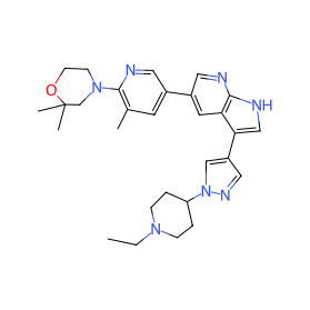 CCN1CCC(n2cc(-c3c[nH]c4ncc(-c5cnc(N6CCOC(C)(C)C6)c(C)c5)cc34)cn2)CC1